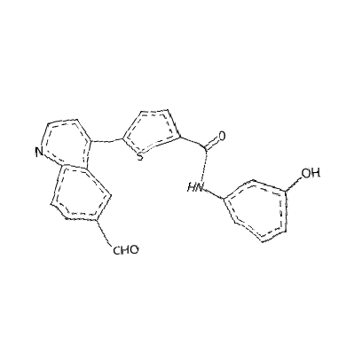 O=Cc1ccc2nccc(-c3ccc(C(=O)Nc4cccc(O)c4)s3)c2c1